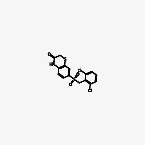 O=C1CSc2cc(S(=O)(=O)Cc3c(Cl)cccc3Cl)ccc2N1